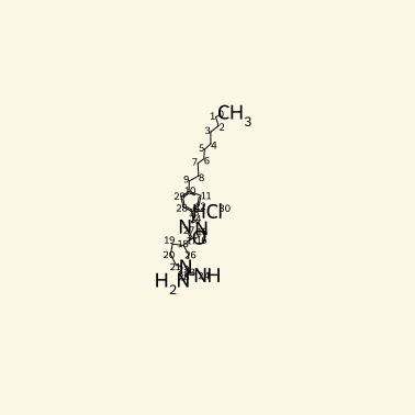 CCCCCCCCCCc1ccc(-c2noc([C@@H]3CCCN(C(=N)N)C3)n2)cc1.Cl